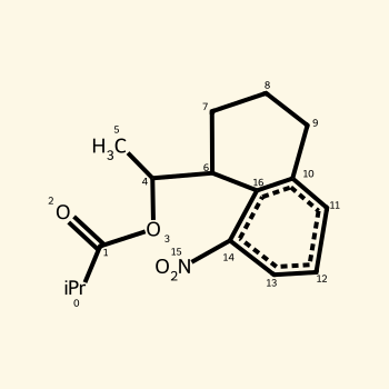 CC(C)C(=O)OC(C)C1CCCc2cccc([N+](=O)[O-])c21